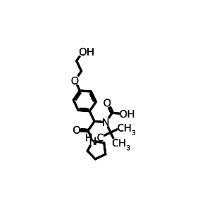 CC(C)(C)N(C(=O)O)C(C(=O)N1CCCC1)c1ccc(OCCO)cc1